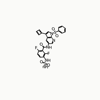 CCCS(=O)(=O)Nc1ccc(F)c(C(=O)Nc2cnc3c(c2)c(C2=CC=C2)cn3S(=O)(=O)c2ccccc2)c1F